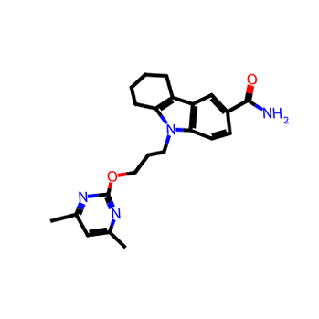 Cc1cc(C)nc(OCCCn2c3c(c4cc(C(N)=O)ccc42)CCCC3)n1